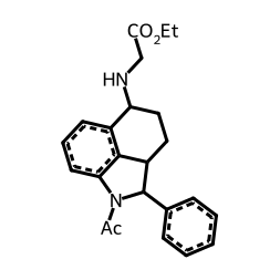 CCOC(=O)CNC1CCC2c3c1cccc3N(C(C)=O)C2c1ccccc1